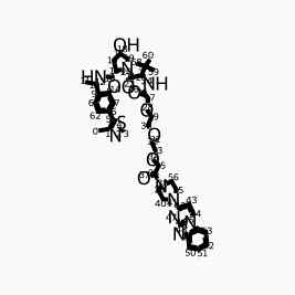 Cc1ncsc1-c1ccc(C(C)NC(=O)[C@@H]2C[C@@H](O)CN2C(=O)C(NC(=O)COCCOCCOCC(=O)N2CCN(c3ccn4c(n3)nc3ccccc34)CC2)C(C)(C)C)cc1